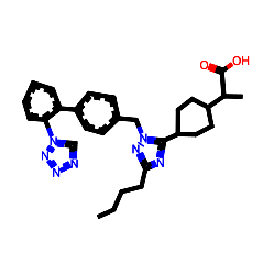 CCCCc1nc(C2CCC(C(C)C(=O)O)CC2)n(Cc2ccc(-c3ccccc3-n3cnnn3)cc2)n1